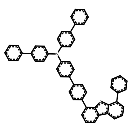 c1ccc(-c2ccc(N(c3ccc(-c4ccccc4)cc3)c3ccc(-c4ccc(-c5cccc6c5sc5c(-c7ccccc7)cccc56)cc4)cc3)cc2)cc1